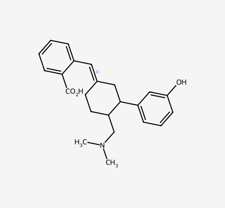 CN(C)CC1CC/C(=C\c2ccccc2C(=O)O)CC1c1cccc(O)c1